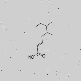 CCC(C)C(C)CC=CC(=O)O